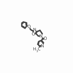 Cc1ccc(C(=O)N2CCc3nc(COc4ccccc4)oc3C2)cn1